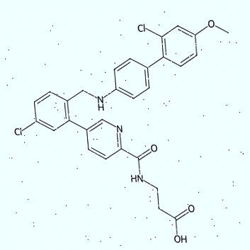 COc1ccc(-c2ccc(NCc3ccc(Cl)cc3-c3ccc(C(=O)NCCC(=O)O)nc3)cc2)c(Cl)c1